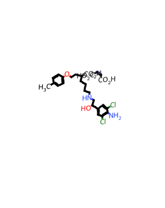 Cc1ccc(OCCC(CCCCNCC(O)c2cc(Cl)c(N)c(Cl)c2)C(=O)O)cc1.O=C(O)/C=C\C(=O)O